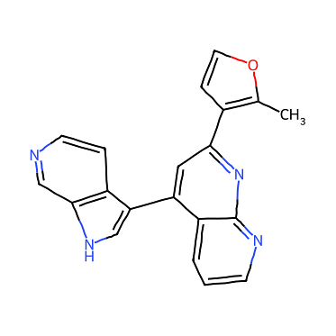 Cc1occc1-c1cc(-c2c[nH]c3cnccc23)c2cccnc2n1